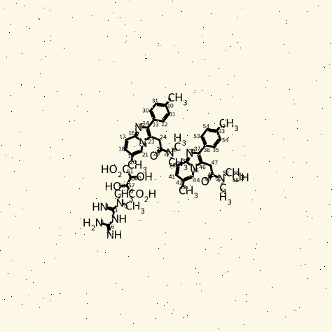 CN(C)C(=N)NC(=N)N.Cc1ccc(-c2nc3ccc(C)cn3c2CC(=O)N(C)C)cc1.Cc1ccc(-c2nc3ccc(C)cn3c2CC(=O)N(C)C)cc1.Cl.O=C(O)C(O)C(O)C(=O)O